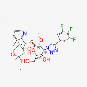 CO[C@@H]1[C@@H](n2cc(-c3cc(F)c(F)c(F)c3)nn2)[C@@H](O)[C@@H](CO)O[C@H]1SC(c1ncccc1C)C1(O)CCOC(C)(C)C1